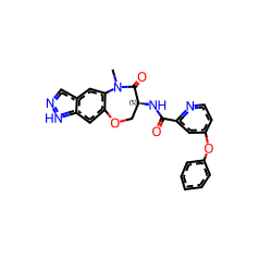 CN1C(=O)[C@@H](NC(=O)c2cc(Oc3ccccc3)ccn2)COc2cc3[nH]ncc3cc21